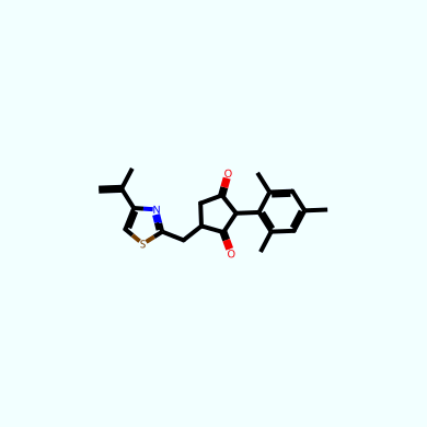 C=C(C)c1csc(CC2CC(=O)C(c3c(C)cc(C)cc3C)C2=O)n1